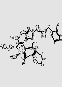 Cc1ccccc1CNC(=O)c1cc2nc(C)c([C@H](OC(C)(C)C)C(=O)O)c(-c3cc(F)c4c(c3C)CCCO4)n2n1